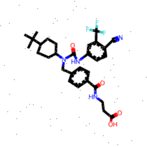 CC(C)(C)C1CCC(N(Cc2ccc(C(=O)NCCC(=O)O)cc2)C(=O)Nc2ccc(C#N)c(C(F)(F)F)c2)CC1